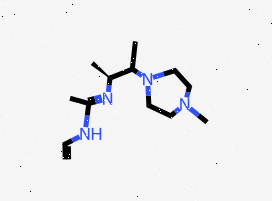 C=CN/C(C)=N/[C@@H](C)C(C)N1CCN(C)CC1